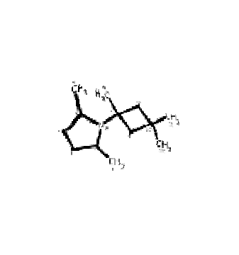 CC1CCC(C)N1C1(C)CC(C)(C)C1